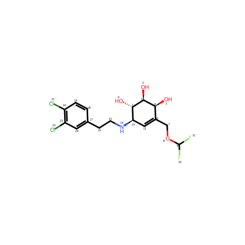 O[C@@H]1[C@@H](O)[C@@H](O)C(COC(F)F)=C[C@H]1NCCc1ccc(Cl)c(Cl)c1